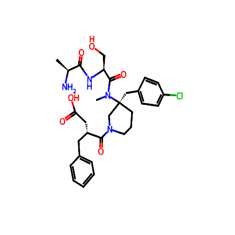 C[C@H](N)C(=O)N[C@@H](CO)C(=O)N(C)[C@@]1(Cc2ccc(Cl)cc2)CCCN(C(=O)[C@@H](CC(=O)O)Cc2ccccc2)C1